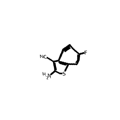 N#Cc1c(N)sc2cc(F)ccc12